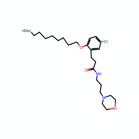 CCCCCCCCCCCCCCCCCCOc1ccccc1CCC(=O)NCCCN1CCOCC1.Cl